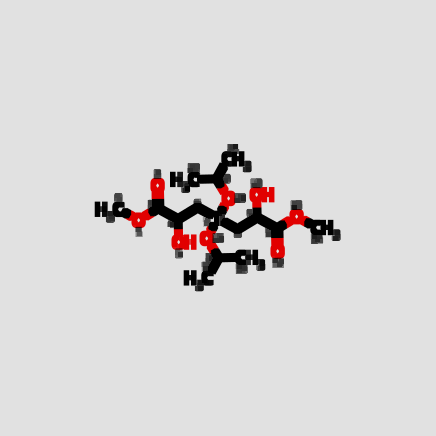 COC(=O)C(O)[CH2][Ti]([CH2]C(O)C(=O)OC)([O]C(C)C)[O]C(C)C